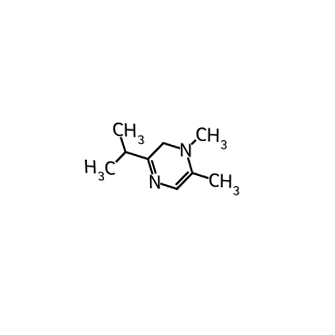 CC1=CN=C(C(C)C)CN1C